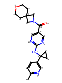 Cc1ccc(C2(Nc3ncc(C(=O)N4CC5(CCOCC5)C4)cn3)CC2)cn1